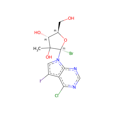 CC1(O)[C@H](O)[C@@H](CO)O[C@@]1(Br)n1cc(I)c2c(Cl)ncnc21